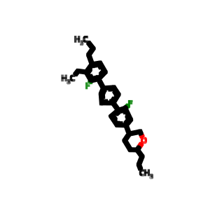 CCCc1ccc(-c2ccc(-c3ccc(C4CCC(CCC)OC4)cc3F)cc2)c(F)c1CC